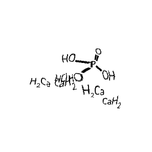 Cl.O=P(O)(O)O.[CaH2].[CaH2].[CaH2].[CaH2]